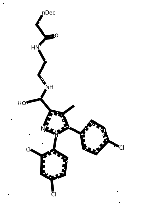 CCCCCCCCCCCC(=O)NCCNC(O)c1nn(-c2ccc(Cl)cc2Cl)c(-c2ccc(Cl)cc2)c1C